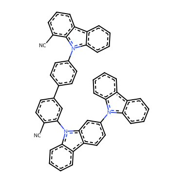 N#Cc1ccc(-c2ccc(-n3c4ccccc4c4cccc(C#N)c43)cc2)cc1-n1c2ccccc2c2ccc(-n3c4ccccc4c4ccccc43)cc21